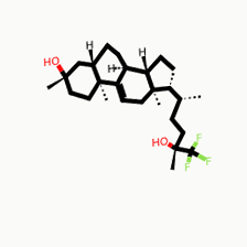 C[C@H](CC[C@@](C)(O)C(F)(F)F)[C@H]1CC[C@H]2[C@@H]3CC[C@H]4C[C@@](C)(O)CC[C@]4(C)C3=CC[C@]12C